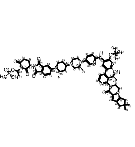 [2H]C([2H])([2H])Oc1ncc(-c2ccnc(N3CCn4c(cc5c4CC(C)(C)C5)C3=O)c2[C@H](C)O)cc1Nc1ccc(N2CCN(C3CCN(c4ccc5c(c4)C(=O)N([C@H]4CCC(=O)N(C(C)OP(=O)(O)O)C4=O)C5=O)[C@@H](C)C3)C[C@@H]2C)cn1